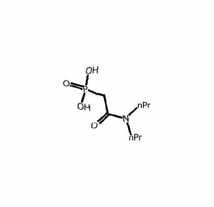 CCCN(CCC)C(=O)CP(=O)(O)O